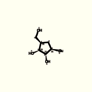 CC(C)(C)[C@@H]1C[C@H](CO)[C@@H](O)[C@H]1O